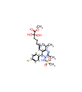 COC(=O)C(O)(O)CCC/C=C/C1=C(C(C)C)N=C(C)N(NS(C)(=O)=O)C1c1ccc(F)cc1